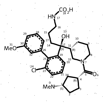 CN[C@H]1CC[C@@H](C(=O)N2CCC[C@@H]([C@@](O)(CCCNC(=O)O)c3cccc(Cl)c3-c3cccc(OC)c3)C2)C1